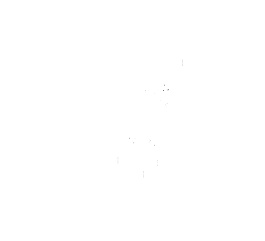 CC(C)(C)c1nc2cc(S(=O)(=O)N3CC(F)C3)ccc2n1CC1CCC(F)(F)CC1